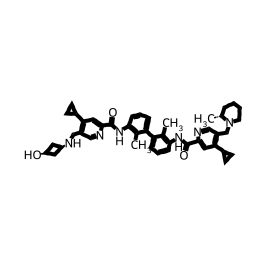 Cc1c(NC(=O)c2cc(C3CC3)c(CN[C@H]3C[C@@H](O)C3)cn2)cccc1-c1cccc(NC(=O)c2cc(C3CC3)c(CN3CCCC[C@H]3C)cn2)c1C